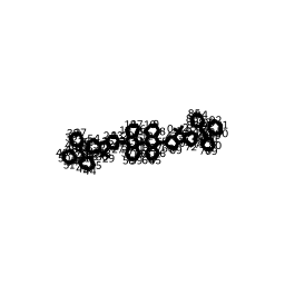 CC1(C)c2cc(-c3c4ccccc4c(-c4c5ccccc5c(-c5ccc6c(c5)C(C)(C)c5cc([Si](c7ccccc7)(c7ccccc7)c7ccccc7)ccc5-6)c5ccccc45)c4ccccc34)ccc2-c2ccc([Si](c3ccccc3)(c3ccccc3)c3ccccc3)cc21